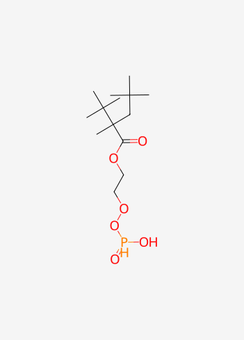 CC(C)(C)CC(C)(C(=O)OCCOO[PH](=O)O)C(C)(C)C